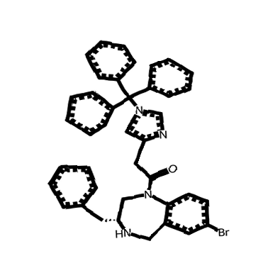 O=C(Cc1cn(C(c2ccccc2)(c2ccccc2)c2ccccc2)cn1)N1C[C@@H](Cc2ccccc2)NCc2cc(Br)ccc21